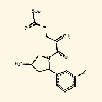 C=C(CCC(=O)OC)C(=O)N1CC(C)CC1c1cccc(F)c1